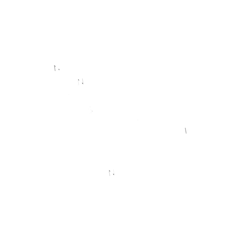 Fc1ccc(CCC(Cn2ccnc2)Sc2ccc(N3CCCC3)cc2)cc1